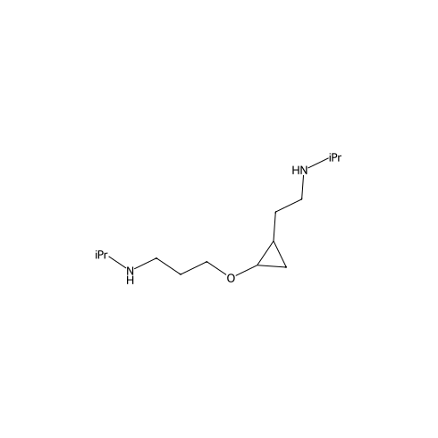 CC(C)NCCCOC1CC1CCNC(C)C